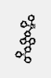 c1ccc(-c2nnc(-c3ccc(-c4ccccc4-c4ccccc4-c4ccc(N(c5ccccc5)c5ccccc5)cc4)cc3)n2-c2ccccc2)cc1